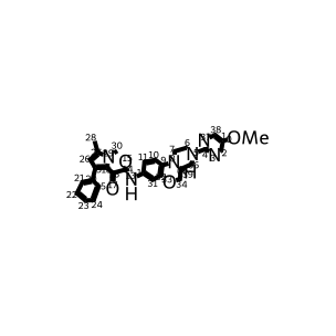 COc1cnc(N2CCN3c4ccc(NC(=O)C(=O)c5c(-c6ccccc6)cc(C)n5C)cc4OC[C@H]3C2)nc1